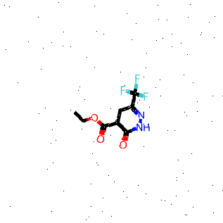 CCOC(=O)C1CC(C(F)(F)F)=NNC1=O